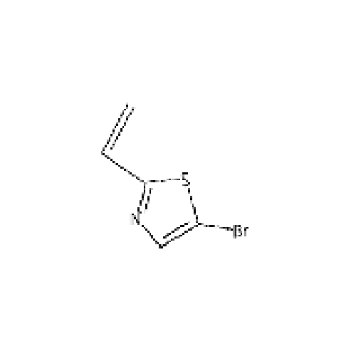 C=Cc1ncc(Br)s1